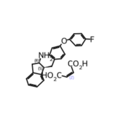 N[C@@H]1Cc2ccccc2[C@@H]1Cc1ccc(Oc2ccc(F)cc2)cc1.O=C(O)/C=C\C(=O)O